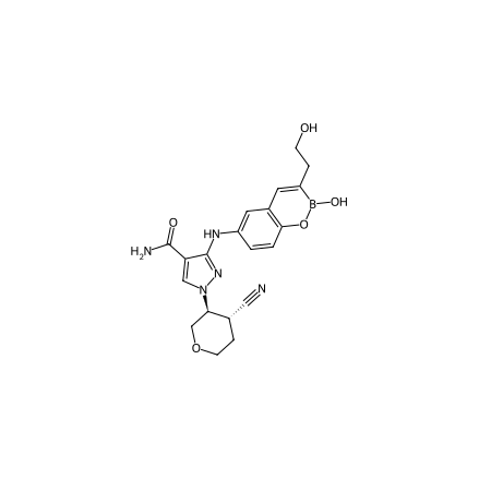 N#C[C@@H]1CCOC[C@H]1n1cc(C(N)=O)c(Nc2ccc3c(c2)C=C(CCO)B(O)O3)n1